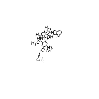 CC#CCOc1cc([C@@H](C)NC(=O)[C@](C)(O)[C@@H](O)C(=O)N2Cc3cccnc3C2)ccc1-n1cccn1